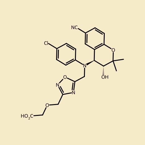 CC1(C)Oc2ccc(C#N)cc2[C@H](N(Cc2nc(COCC(=O)O)no2)c2ccc(Cl)cc2)[C@H]1O